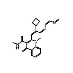 C=N\C=C/C=C\C(=C/C1=C(C(=C)NC)C(=C)c2ccccc2N1C)C1CCC1